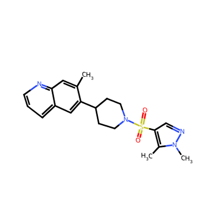 Cc1cc2ncccc2cc1C1CCN(S(=O)(=O)c2cnn(C)c2C)CC1